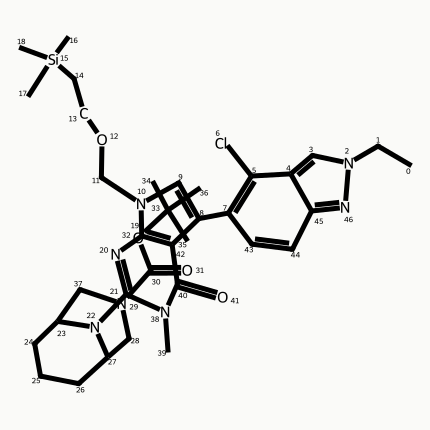 CCn1cc2c(Cl)c(-c3cn(COCC[Si](C)(C)C)c4nc(N5C6CCCC5CN(C(=O)OC(C)(C)C)C6)n(C)c(=O)c34)ccc2n1